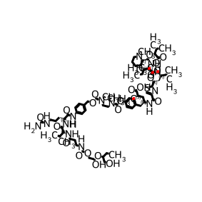 CCC(CO)OC(O)COC(=O)NCCC(=O)N[C@@H](C(=O)N[C@H](CCCNC(N)=O)C(=O)Nc1ccc(COC(=O)N(C)CCN(C)C(=O)Oc2ccc(C[C@@H](C[C@H](C)C(=O)O)NC(=O)c3csc([C@@H](C[C@H](C(C)C)N(COC(=O)CC(C)C)C(=O)[C@@H](NC(=O)[C@H]4CCCCN4C)[C@@H](C)CC)OC(C)=O)n3)cc2)cc1)C(C)C